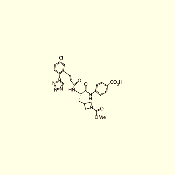 COC(=O)N1CC(C[C@H](NC(=O)C=Cc2cc(Cl)ccc2-n2cnnn2)C(=O)Nc2ccc(C(=O)O)cc2)C1